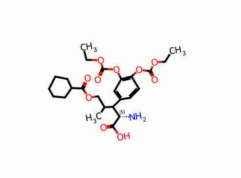 CCOC(=O)Oc1ccc(C(C(C)COC(=O)C2CCCCC2)[C@H](N)C(=O)O)cc1OC(=O)OCC